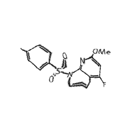 COc1cc(F)c2ccn(S(=O)(=O)c3ccc(C)cc3)c2n1